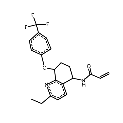 C=CC(=O)NC1CCC(Oc2ccc(C(F)(F)F)cc2)c2nc(CC)ccc21